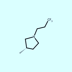 C[C@H]1CCN(CCC(F)(F)F)C1